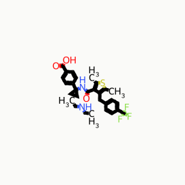 CCNCC.Cc1sc(C)c(C(=O)NC2(c3ccc(C(=O)O)cc3)CC2)c1Cc1ccc(C(F)(F)F)cc1